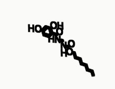 CCCCCCCCOC(=O)NCNC(=O)c1ccc(O)cc1O